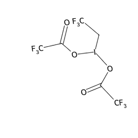 O=C(OI(CC(F)(F)F)OC(=O)C(F)(F)F)C(F)(F)F